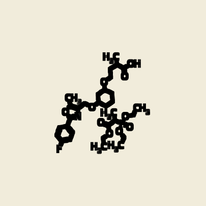 CCOC(=O)C(C)P(=O)(OCC)OCC.Cc1oc(-c2ccc(F)cc2)nc1COC1CCCC(OCCC(C)C(=O)O)C1